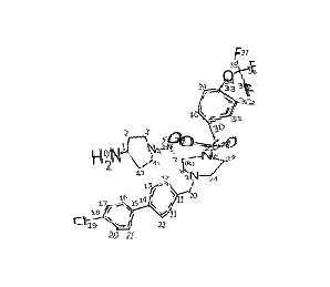 NC1CCN(C(=O)[C@H]2CN(Cc3ccc(-c4ccc(Cl)cc4)cc3)CCN2S(=O)(=O)c2ccc(OC(F)(F)F)cc2)CC1